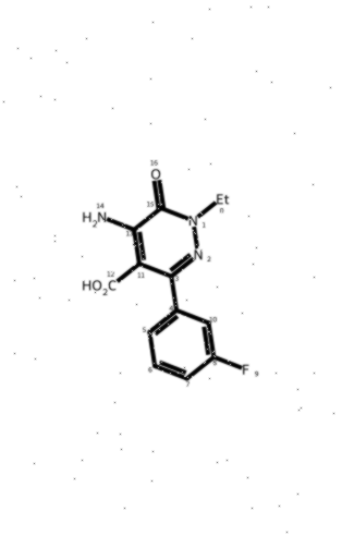 CCn1nc(-c2cccc(F)c2)c(C(=O)O)c(N)c1=O